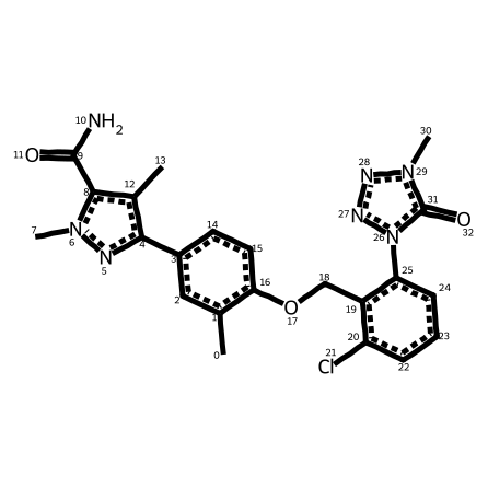 Cc1cc(-c2nn(C)c(C(N)=O)c2C)ccc1OCc1c(Cl)cccc1-n1nnn(C)c1=O